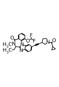 CCC1c2nc3ccc(C#CC4CCN(C(=O)C5CC5)C4)cc3n2-c2c(OC(F)F)cccc2C(=O)N1C